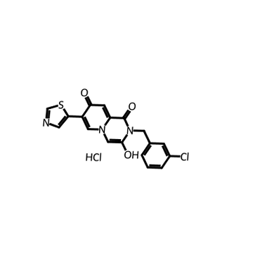 Cl.O=c1cc2c(=O)n(Cc3cccc(Cl)c3)c(O)cn2cc1-c1cncs1